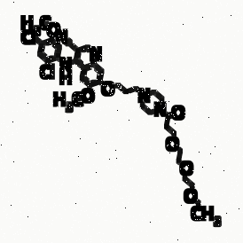 CCOCCOCCOCCC(=O)N1CCN(CCCOc2cc3ncc(C#N)c(Nc4cc(OC)c(Cl)cc4Cl)c3cc2OC)CC1